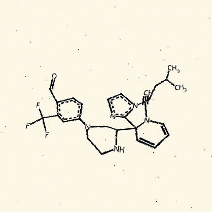 C#CN1C=CC=CC1(c1nccn1CCC(C)C)C1CN(c2ccc(C=O)c(C(F)(F)F)c2)CCN1